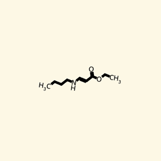 CCCCNC=CC(=O)OCC